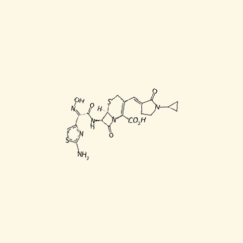 Nc1nc(/C(=N/O)C(=O)N[C@@H]2C(=O)N3C(C(=O)O)=C(C=C4CCN(C5CC5)C4=O)CS[C@H]23)cs1